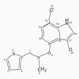 [CH2]C(Cc1cccs1)Oc1ccc(Cl)c2[nH]cc(Cl)c12